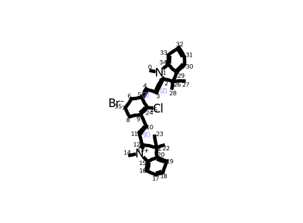 CN1/C(=C\C=C2\CCCC(/C=C/C3=[N+](C)c4ccccc4C3(C)C)=C2Cl)C(C)(C)c2ccccc21.[Br-]